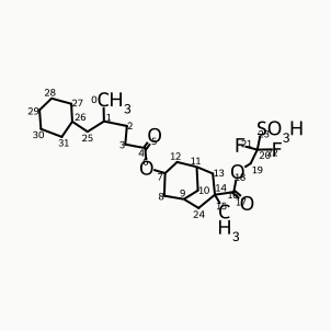 CC(CCC(=O)OC1CC2CC(C1)CC(C)(C(=O)OCC(F)(F)S(=O)(=O)O)C2)CC1CCCCC1